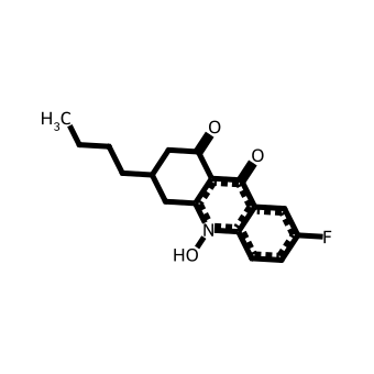 CCCCC1CC(=O)c2c(n(O)c3ccc(F)cc3c2=O)C1